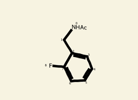 CC(=O)NCc1c[c]ccc1F